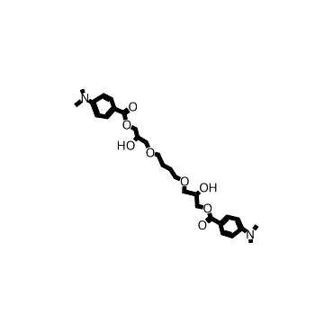 CN(C)c1ccc(C(=O)OCC(O)COCCCCOCC(O)COC(=O)c2ccc(N(C)C)cc2)cc1